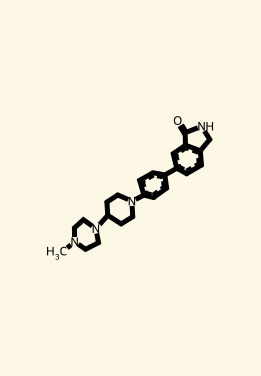 CN1CCN(C2CCN(c3ccc(-c4ccc5c(c4)C(=O)NC5)cc3)CC2)CC1